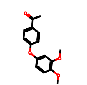 COc1ccc(Oc2ccc(C(C)=O)cc2)cc1OC